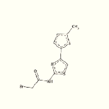 Cc1ccc(-c2csc(NC(=O)CBr)n2)s1